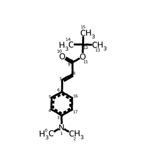 CN(C)c1ccc(C=CC(=O)OC(C)(C)C)cc1